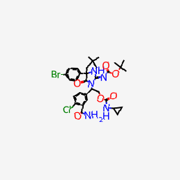 CC(C)(C)CC1(c2ccc(Br)cc2)NC(=NC(=O)OC(C)(C)C)N(C(COC(=O)NC2CC2)c2ccc(Cl)c(C(N)=O)c2)C1=O